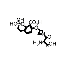 C[C@@H](O)[C@H](N)C(=O)N1CC(Oc2ccc3c(c2C(=O)O)O[B-](O)(O)CC3)C1